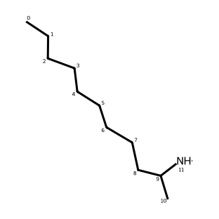 CCCCCCCCCC(C)[NH]